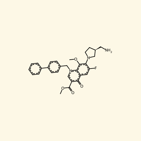 COC(=O)c1cn(Cc2ccc(-c3ccccc3)cc2)c2c(OC)c(N3CC[C@@H](CN)C3)c(F)cc2c1=O